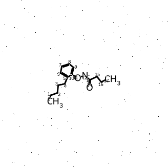 CCCCCc1ccccc1O[N]C(=O)CCC